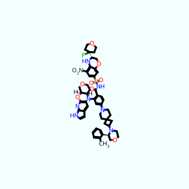 Cc1ccccc1[C@@H]1COCCN1C1CC2(CCN(c3ccc(C(=O)NS(=O)(=O)c4cc5c(c([N+](=O)[O-])c4)N[C@H](C4(F)CCOCC4)CO5)c(N4c5cc6cc[nH]c6nc5O[C@H]5COCC[C@@H]54)c3)CC2)C1